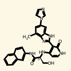 Cc1cc(-n2ccnc2)cc2[nH]c(-c3c(N[C@@H](CO)C(=O)Nc4ccc5ccccc5c4)cc[nH]c3=O)nc12